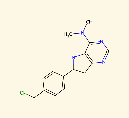 CN(C)c1ncnc2c1N=C(c1ccc(CCl)cc1)C2